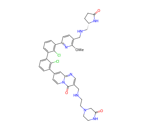 COc1nc(-c2cccc(-c3cccc(-c4ccn5c(=O)c(CNCCN6CCNC(=O)C6)cnc5c4)c3Cl)c2Cl)ccc1CNC[C@@H]1CCC(=O)N1